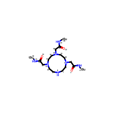 CC(C)(C)NC(=O)CN1CCNCCN(CC(=O)NC(C)(C)C)CCN(CC(=O)NC(C)(C)C)CC1